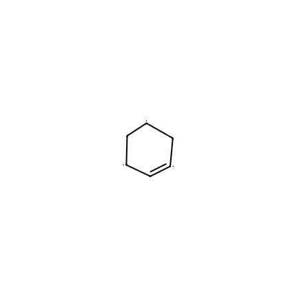 [C]1=C[CH]C[CH]C1